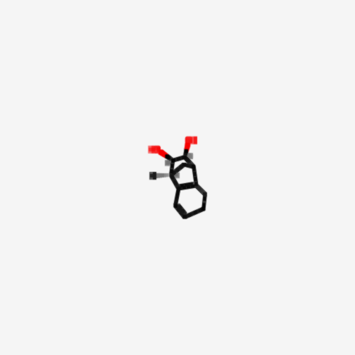 O[C@@H]1[C@H]2CC(C3=C2C=CCC3)[C@@H]1O